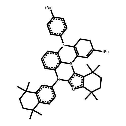 CC(C)(C)C1=CC2=C(CC1)N(c1ccc(C(C)(C)C)cc1)c1cccc3c1B2c1c(oc2c1C(C)(C)CCC2(C)C)N3c1ccc2c(c1)C(C)(C)CCC2(C)C